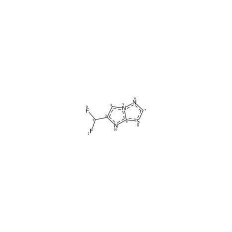 FC(F)c1cn2ncsc2n1